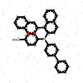 COc1ccc(N(c2ccc(-c3ccccc3)cc2)c2ccc3ccccc3c2-c2ccc3ccccc3c2)cc1